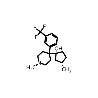 C[C@H]1CC[C@](O)(C2(c3cccc(C(F)(F)F)c3)CCN(C)CC2)C1